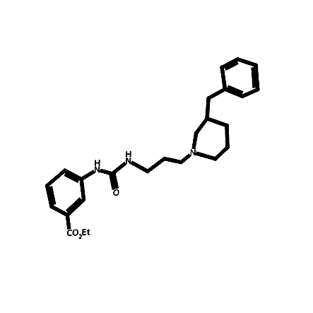 CCOC(=O)c1cccc(NC(=O)NCCCN2CCCC(Cc3ccccc3)C2)c1